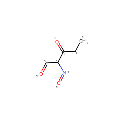 CCC(=O)C(C=O)N=O